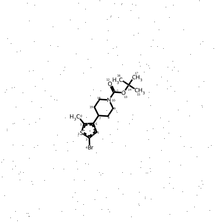 Cc1sc(Br)cc1C1CCN(C(=O)OC(C)(C)C)CC1